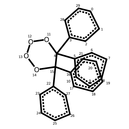 c1ccc(C2(c3ccccc3)OOOOC2(c2ccccc2)c2ccccc2)cc1